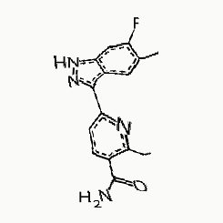 Cc1cc2c(-c3ccc(C(N)=O)c(C)n3)n[nH]c2cc1F